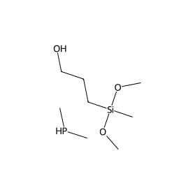 CO[Si](C)(CCCO)OC.CPC